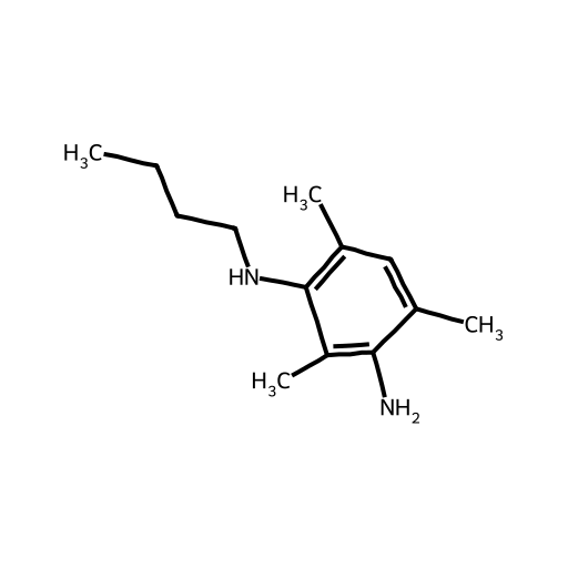 CCCCNc1c(C)cc(C)c(N)c1C